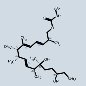 CCCNC(=O)OC[C@@H](C)/C=C/C=C(\C)[C@@H](C=O)[C@@H](C)/C=C/[C@H](OC(C)=O)[C@@](C)(O)CC[C@H](O)CC=O